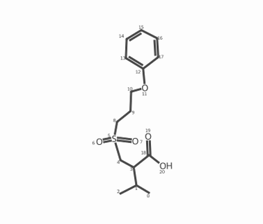 CC(C)C(CS(=O)(=O)CCCOc1ccccc1)C(=O)O